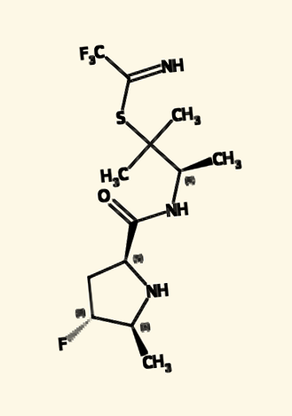 C[C@@H]1N[C@H](C(=O)N[C@H](C)C(C)(C)SC(=N)C(F)(F)F)C[C@H]1F